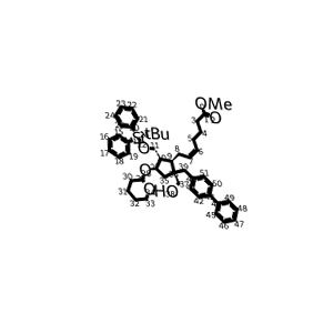 COC(=O)CCC/C=C\C[C@@H]1[C@@H](CO[Si](c2ccccc2)(c2ccccc2)C(C)(C)C)[C@H](OC2CCCCO2)C[C@@]1(CO)Cc1ccc(-c2ccccc2)cc1